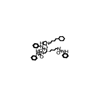 CN(CCCC[C@H](CNC(=O)Nc1ccccc1)N(C[C@H]1CCCN1CCCCC1CCCCC1)C(=O)Nc1ccccc1)C(=O)Nc1ccccc1